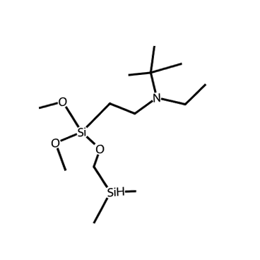 CCN(CC[Si](OC)(OC)OC[SiH](C)C)C(C)(C)C